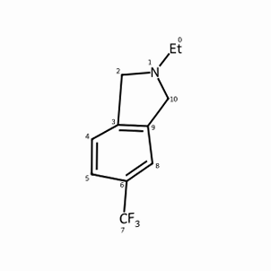 CCN1Cc2ccc(C(F)(F)F)cc2C1